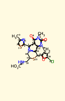 Cc1csc(-c2c3c(=O)n(C)c(=O)n(C)c3c3n2CC(CNC(=O)O)SC3c2ccc(Cl)o2)n1